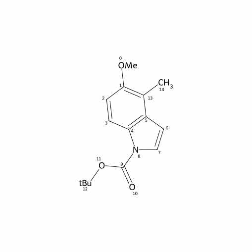 COc1ccc2c(ccn2C(=O)OC(C)(C)C)c1C